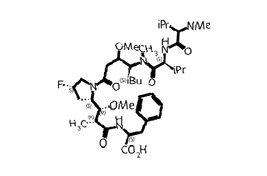 CC[C@H](C)C(C(CC(=O)N1C[C@@H](F)C[C@H]1[C@H](OC)[C@@H](C)C(=O)N[C@@H](Cc1ccccc1)C(=O)O)OC)N(C)C(=O)[C@@H](NC(=O)C(NC)C(C)C)C(C)C